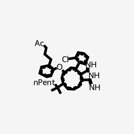 CCCCCC(C)(C)c1cccc2c(c(-c3ccccc3Cl)cc(Oc3ccccc3CCCC(C)=O)c1)C(=N)NC2=N